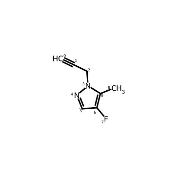 C#CCn1n[c]c(F)c1C